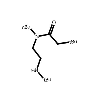 CCCCN(CCNC(C)(C)C)C(=O)CC(C)(C)C